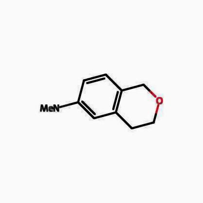 CNc1ccc2c(c1)CCOC2